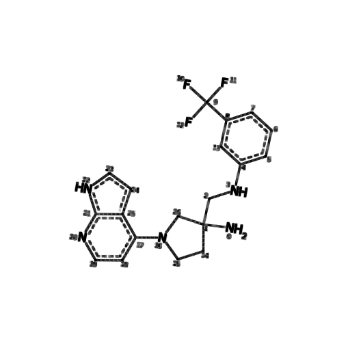 NC1(CNc2cccc(C(F)(F)F)c2)CCN(c2ccnc3[nH]ccc23)C1